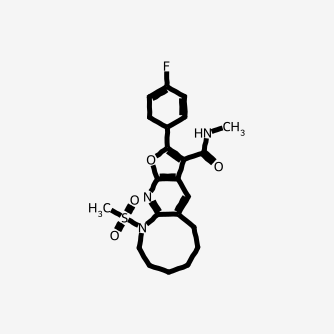 CNC(=O)c1c(C2C=CC(F)=CC2)oc2nc3c(cc12)CCCCCCN3S(C)(=O)=O